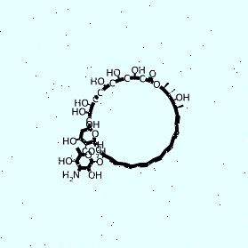 CC1O[C@@H](O[C@H]2/C=C/C=C/C=C/C=C/C=C/C=C/C=C/[C@H](C)[C@@H](O)[C@@H](C)[C@H](C)OC(=O)C[C@H](O)C[C@H](O)C[C@H](O)CC[C@@H](O)[C@H](O)C[C@]3(O)C[C@H](O)[C@@H](C(=O)O)[C@H](C2)O3)C(O)C(N)[C@@H]1O